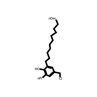 CCCCCCCCCCCCCCCCCCCCc1cc(CCl)cc(CCC)c1O